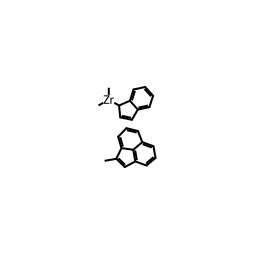 CC1=Cc2cccc3cccc1c23.[CH3][Zr]([CH3])[CH]1C=Cc2ccccc21